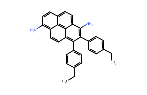 CCc1ccc(-c2c(N)c3ccc4ccc(N)c5ccc(c2-c2ccc(CC)cc2)c3c45)cc1